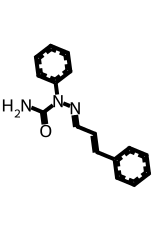 NC(=O)N(/N=C/C=Cc1ccccc1)c1ccccc1